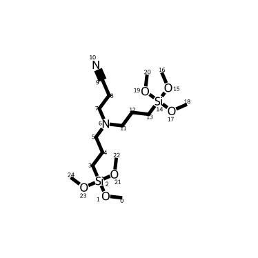 CO[Si](CCCN(CCC#N)CCC[Si](OC)(OC)OC)(OC)OC